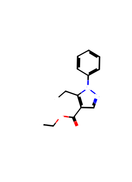 CCOC(=O)c1cnn(-c2ccccc2)c1CC